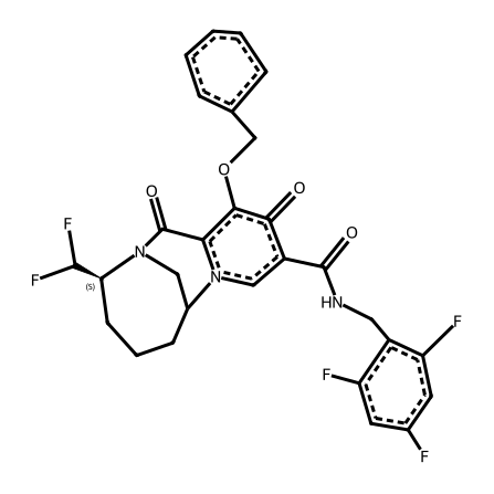 O=C(NCc1c(F)cc(F)cc1F)c1cn2c(c(OCc3ccccc3)c1=O)C(=O)N1CC2CCC[C@H]1C(F)F